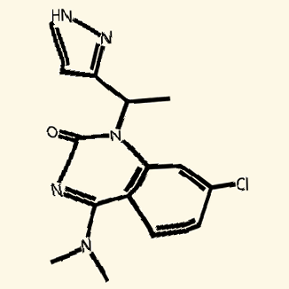 CC(c1cc[nH]n1)n1c(=O)nc(N(C)C)c2ccc(Cl)cc21